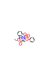 CCOC(=O)[C@H](C)NP(=O)(Oc1ccccc1)Oc1ccccc1